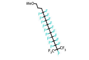 COCCCC(F)(F)C(F)(F)C(F)(F)C(F)(F)C(F)(F)C(F)(F)C(F)(F)C(F)(F)C(F)(F)C(F)(C(F)(F)F)C(F)(F)F